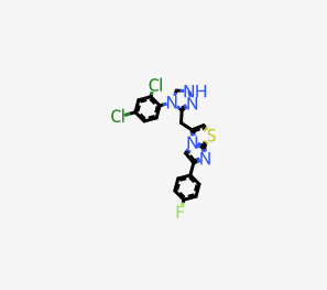 Fc1ccc(-c2cn3c(CC4=NNCN4c4ccc(Cl)cc4Cl)csc3n2)cc1